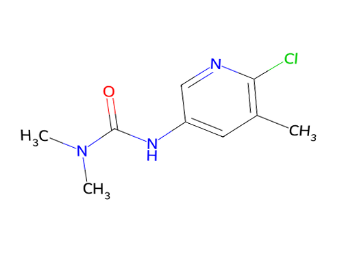 Cc1cc(NC(=O)N(C)C)cnc1Cl